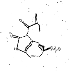 C=C(C)C(=O)n1c(=O)[nH]c2ccc(C(=O)O)cc21